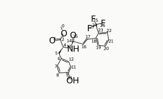 COC(=O)[C@H](Cc1ccc(O)cc1)NC(=O)C=Cc1ccccc1C(F)(F)F